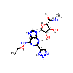 CCONc1nc(-c2c[nH]nn2)nc2c1ncn2[C@@H]1O[C@H](C(=O)NC)[C@@H](O)[C@H]1O